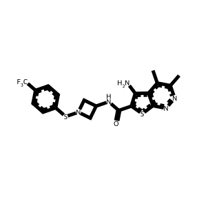 Cc1nnc2sc(C(=O)NC3CN(Sc4ccc(C(F)(F)F)cc4)C3)c(N)c2c1C